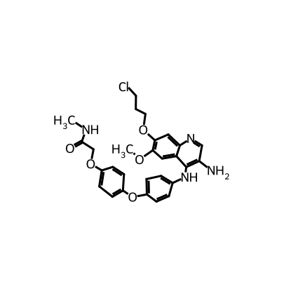 CNC(=O)COc1ccc(Oc2ccc(Nc3c(N)cnc4cc(OCCCCl)c(OC)cc34)cc2)cc1